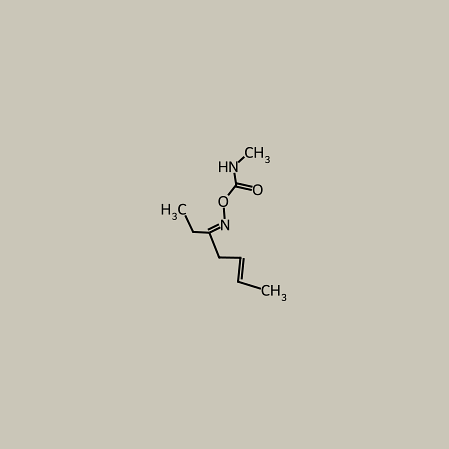 CC=CCC(CC)=NOC(=O)NC